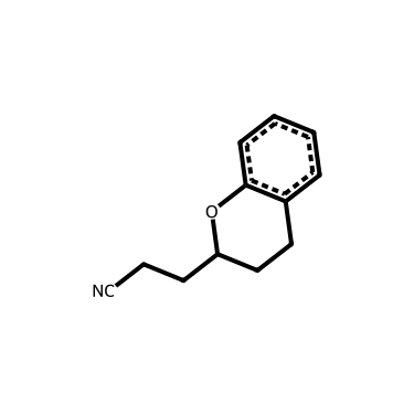 N#CCCC1CCc2ccccc2O1